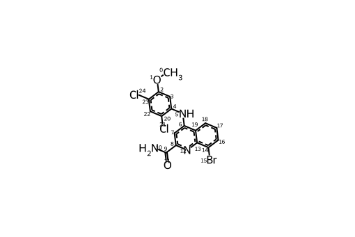 COc1cc(Nc2cc(C(N)=O)nc3c(Br)cccc23)c(Cl)cc1Cl